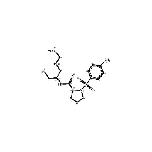 Cc1ccc(S(=O)(=O)N2CCC[C@H]2C(=O)N[C@H](CNCC(=O)O)CC(C)C)cc1